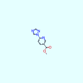 COC(=O)c1ccc(-n2cncn2)nc1